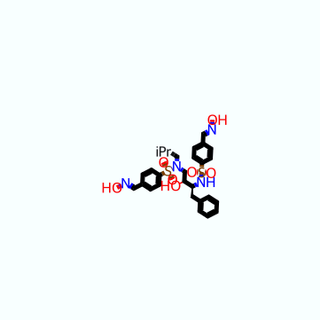 CC(C)CN(C[C@@H](O)[C@H](Cc1ccccc1)NS(=O)(=O)c1ccc(C=NO)cc1)S(=O)(=O)c1ccc(C=NO)cc1